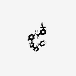 Cc1ccc(NC(=O)c2cccc(C(C)(C)C#N)c2)cc1-n1cc(-c2cnccc2OC2CCOCC2)cn1